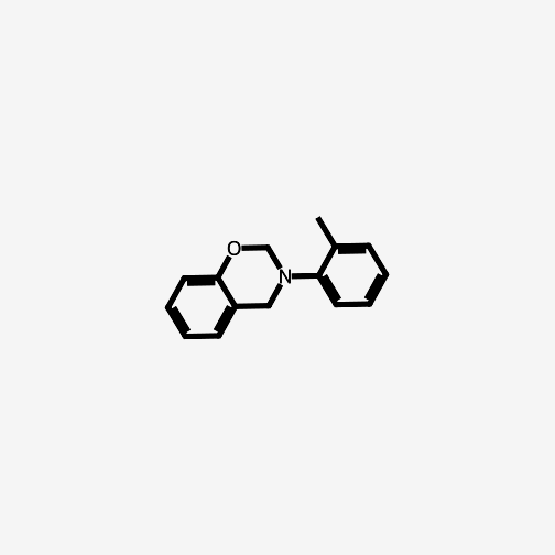 Cc1ccccc1N1COc2ccccc2C1